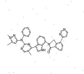 Cc1cnc(N(c2ccccc2)c2cc(C)n(C)n2)nc1-c1c[nH]c2c(N3Cc4c(cccc4-c4ccncn4)C3=O)cccc12